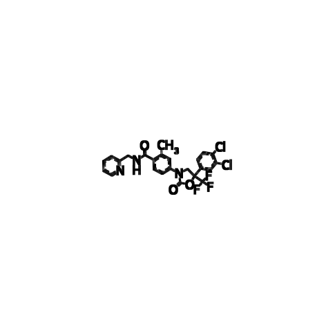 Cc1cc(N2CC(c3ccc(Cl)c(Cl)c3)(C(F)(F)F)OC2=O)ccc1C(=O)NCc1ccccn1